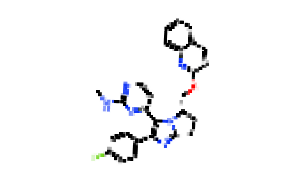 CNc1nccc(-c2c(-c3ccc(F)cc3)nc3n2[C@H](COc2ccc4ccccc4n2)CC3)n1